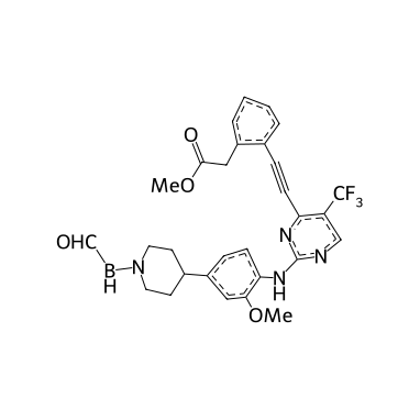 COC(=O)Cc1ccccc1C#Cc1nc(Nc2ccc(C3CCN(BC=O)CC3)cc2OC)ncc1C(F)(F)F